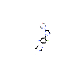 CC1CN(c2cc(F)c(-c3nccc(N4CCOCC4)n3)cc2N)CCN1C